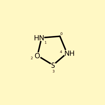 C1NOSN1